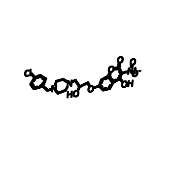 O=c1oc2cc(OCC(O)CN3CCN(Cc4ccc(Cl)cc4)CC3)ccc2c(O)c1[N+](=O)[O-]